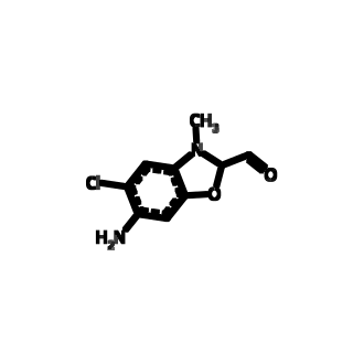 CN1c2cc(Cl)c(N)cc2OC1C=O